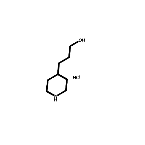 Cl.OCCCC1CCNCC1